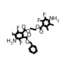 Cc1c(C)c(C(=O)OCCOC(=O)c2c(F)c(I)c(N)c(F)c2C(=O)OCc2ccccc2)c(F)c(F)c1N